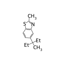 CCC(C)(CC)c1ccc2sc(C)nc2c1